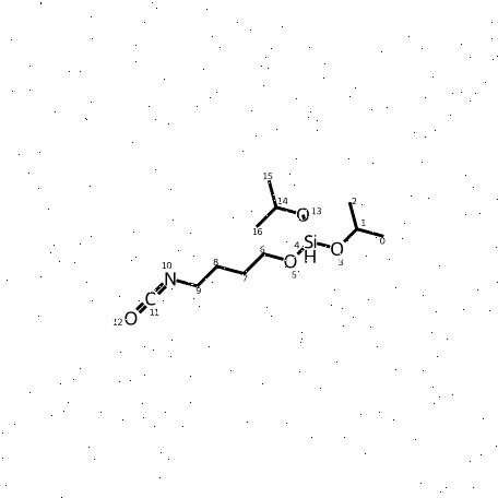 CC(C)O[SiH](OCCCCN=C=O)OC(C)C